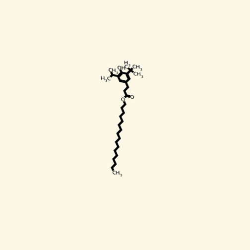 CCCCCCCCCCCCCCCCCOC(=O)CCc1cc(C(C)C)c(O)c(C(C)(C)C)c1